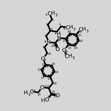 CCCC(CCC)CN(CCOc1ccc(CC(OCC)C(=O)O)cc1)C(=O)Nc1cc(C)ccc1OC